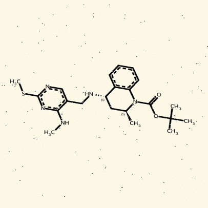 CNc1nc(SC)ncc1CN[C@H]1C[C@H](C)N(C(=O)OC(C)(C)C)c2ccccc21